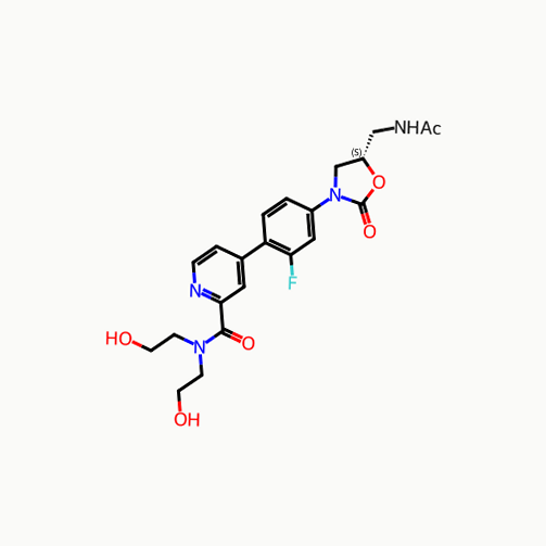 CC(=O)NC[C@H]1CN(c2ccc(-c3ccnc(C(=O)N(CCO)CCO)c3)c(F)c2)C(=O)O1